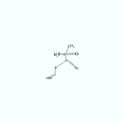 C[SH](N)(=O)C(=N)SC=N